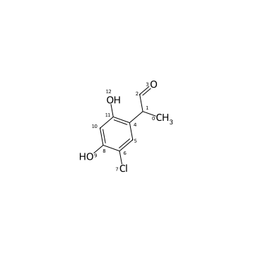 CC(C=O)c1cc(Cl)c(O)cc1O